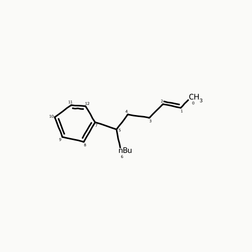 C/C=C/CCC(CCCC)c1ccccc1